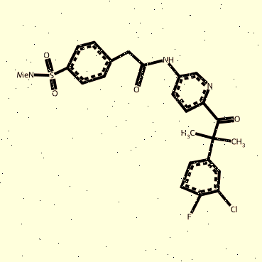 CNS(=O)(=O)c1ccc(CC(=O)Nc2ccc(C(=O)C(C)(C)c3ccc(F)c(Cl)c3)nc2)cc1